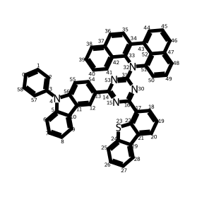 c1ccc(-n2c3ccccc3c3cc(-c4nc(-c5cccc6c5sc5ccccc56)nc(N5c6c(ccc7ccccc67)-c6cccc7cccc5c67)n4)ccc32)cc1